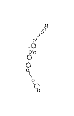 Cc1cc(OCCCCOCC2(C)COC2)ccc1C(=O)Oc1ccc(-c2ccc(OCCCCOCC3CCC4OC4C3)cc2)cc1